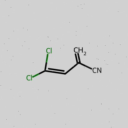 C=C(C#N)C=C(Cl)Cl